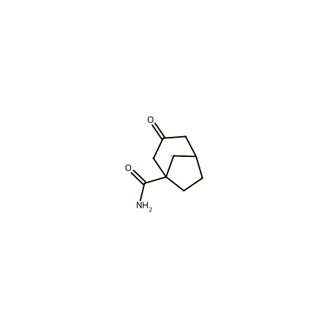 NC(=O)C12[CH]C(CC1)CC(=O)C2